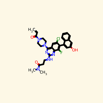 C=CC(=O)N1CCN(c2nc(NCCC(=O)N(C)C)nc3c(F)c(-c4cc(O)cc5ccccc45)c(Cl)cc23)CC1